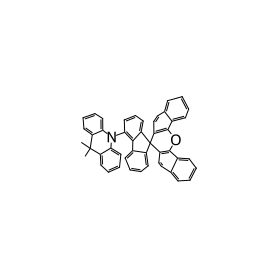 CC1(C)c2ccccc2N(c2cccc3c2-c2ccccc2C32c3ccc4ccccc4c3Oc3c2ccc2ccccc32)c2ccccc21